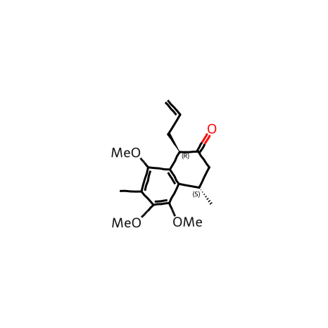 C=CC[C@H]1C(=O)C[C@H](C)c2c(OC)c(OC)c(C)c(OC)c21